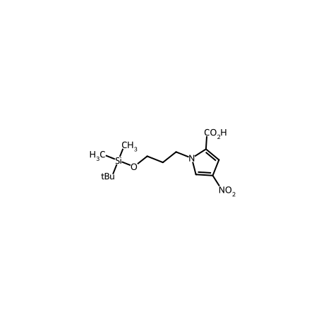 CC(C)(C)[Si](C)(C)OCCCn1cc([N+](=O)[O-])cc1C(=O)O